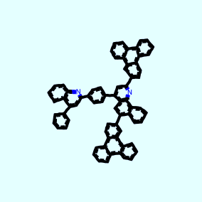 c1ccc(-c2cc(-c3ccc(-c4cc(-c5ccc6c7ccccc7c7ccccc7c6c5)nc5c4cc(-c4ccc6c7ccccc7c7ccccc7c6c4)c4ccccc45)cc3)nc3ccccc23)cc1